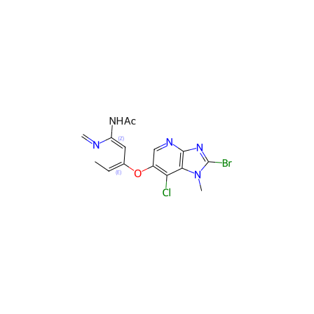 C=N/C(=C\C(=C/C)Oc1cnc2nc(Br)n(C)c2c1Cl)NC(C)=O